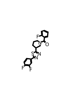 O=C(c1ccccc1F)N1CCCC(c2nnc(-c3ccc(F)c(F)c3)s2)C1